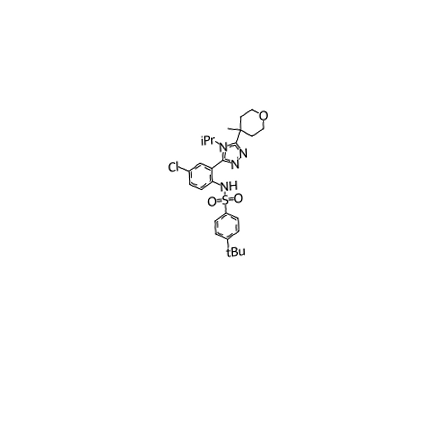 CC(C)n1c(-c2cc(Cl)ccc2NS(=O)(=O)c2ccc(C(C)(C)C)cc2)nnc1C1(C)CCOCC1